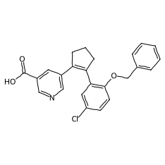 O=C(O)c1cncc(C2=C(c3cc(Cl)ccc3OCc3ccccc3)CCC2)c1